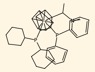 CC(N(C)C)[C]12[CH]3[CH]4[C]5(P(C6CCCCC6)C6CCCCC6)[C]1(P(c1ccccc1)c1ccccc1)[Fe]34251678[CH]2[CH]1[CH]6[CH]7[CH]28